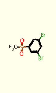 O=S(=O)(c1cc(Br)[c]c(Br)c1)C(F)(F)F